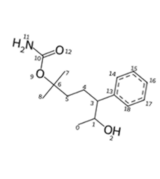 CC(O)C(CCC(C)(C)OC(N)=O)c1ccccc1